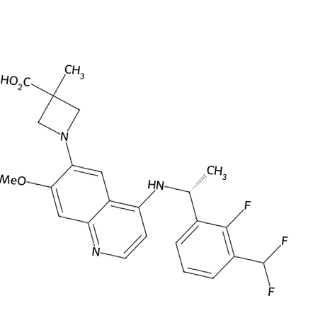 COc1cc2nccc(N[C@H](C)c3cccc(C(F)F)c3F)c2cc1N1CC(C)(C(=O)O)C1